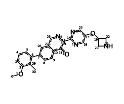 COc1cccc(-c2ccc3c(=O)n(-c4ncc(OC5CNC5)cn4)ncc3c2)c1C